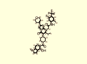 CCc1c(N2CCN(C(=O)c3ncc4c(ccn4C)c3O)CC2)c(=O)n2nc(C3=CCOCC3)nc2n1CC(=O)Nc1cc(F)c(C(F)(F)F)cc1C